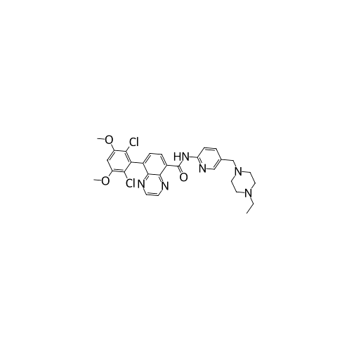 CCN1CCN(Cc2ccc(NC(=O)c3ccc(-c4c(Cl)c(OC)cc(OC)c4Cl)c4nccnc34)nc2)CC1